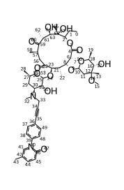 CCC1OC(=O)[C@H](C)[C@H](OC2C[C@@](C)(OC)[C@@H](O)[C@H](C)O2)[C@H](C)[C@@H](OC2O[C@H](C)C[C@H](N(C)CC#Cc3ccc(-n4cc(C)ccc4=O)cc3)[C@H]2O)[C@@](C)(OC)C[C@@H](C)C(=O)[C@H](C)[C@@H](O)[C@]1(C)O